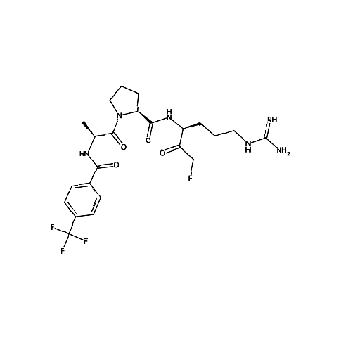 C[C@H](NC(=O)c1ccc(C(F)(F)F)cc1)C(=O)N1CCC[C@H]1C(=O)N[C@@H](CCCNC(=N)N)C(=O)CF